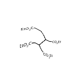 CCOC(=O)CC(C(=O)OCC)C(C(=O)OCC)C(=O)OCC